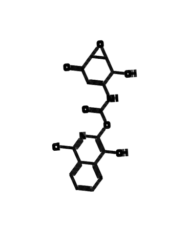 O=C(NC1=CC(=O)C2OC2C1O)Oc1nc(Cl)c2ccccc2c1O